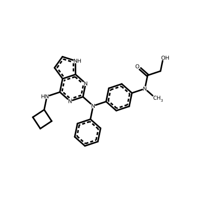 CN(C(=O)CO)c1ccc(N(c2ccccc2)c2nc(NC3CCC3)c3cc[nH]c3n2)cc1